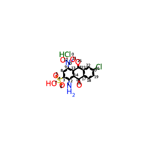 Cl.Nc1c(S(=O)(=O)O)cc([N+](=O)[O-])c2c1C(=O)c1ccc(Cl)cc1C2=O